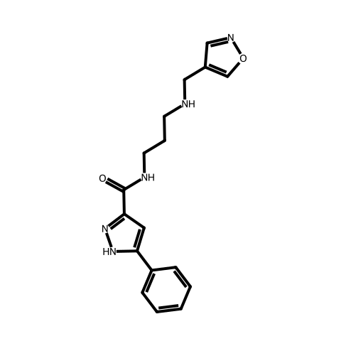 O=C(NCCCNCc1cnoc1)c1cc(-c2ccccc2)[nH]n1